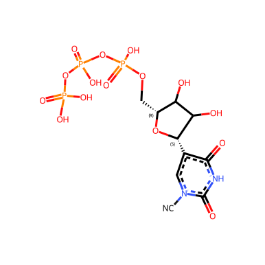 N#Cn1cc([C@@H]2O[C@H](COP(=O)(O)OP(=O)(O)OP(=O)(O)O)C(O)C2O)c(=O)[nH]c1=O